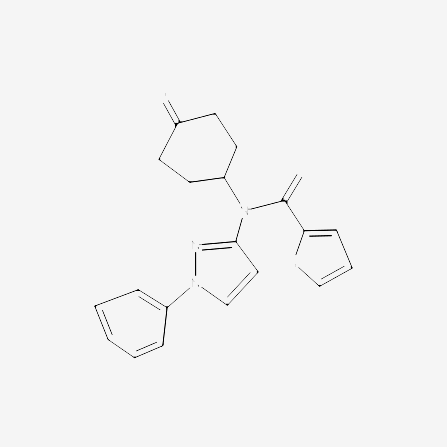 O=C1CCC(N(C(=O)c2cccs2)c2ccn(-c3ccccc3)n2)CC1